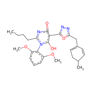 CCCCc1nc(=O)c(-c2nnc(CC3=CCC(C)C=C3)o2)c(O)n1-c1c(OC)cccc1OC